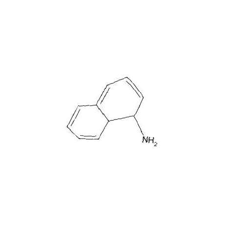 NC1C=CC=C2C=CC=CC21